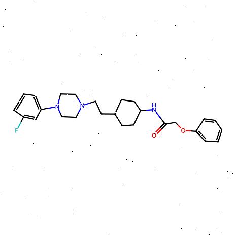 O=C(COc1ccccc1)NC1CCC(CCN2CCN(c3cccc(F)c3)CC2)CC1